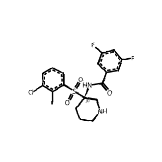 Cc1c(Cl)cccc1S(=O)(=O)[C@@]1(NC(=O)c2cc(F)cc(F)c2)CCCNC1